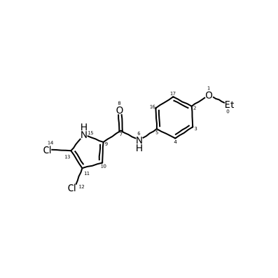 CCOc1ccc(NC(=O)c2cc(Cl)c(Cl)[nH]2)cc1